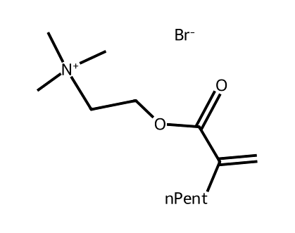 C=C(CCCCC)C(=O)OCC[N+](C)(C)C.[Br-]